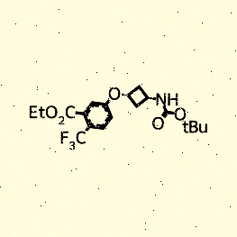 CCOC(=O)c1cc(O[C@H]2C[C@H](NC(=O)OC(C)(C)C)C2)ccc1C(F)(F)F